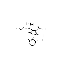 CCCCn1nc2c(c(C(N)=O)c(N)n2-c2c(C)ccc(O)c2C)c1C(F)(F)F